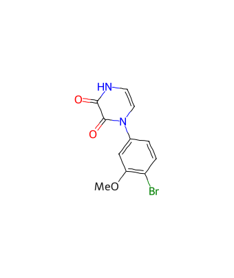 COc1cc(-n2cc[nH]c(=O)c2=O)ccc1Br